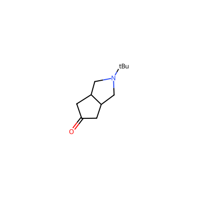 CC(C)(C)N1CC2CC(=O)CC2C1